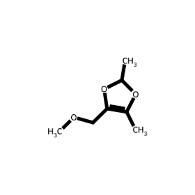 COCC1=C(C)OC(C)O1